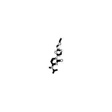 CCOC[C@H]1O[C@@H](n2ccc(N(C)C(C)C)nc2=O)CS1